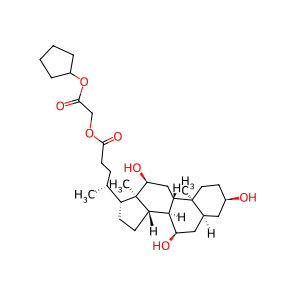 C[C@H](CCC(=O)OCC(=O)OC1CCCC1)[C@H]1CC[C@H]2[C@@H]3[C@H](O)C[C@@H]4C[C@H](O)CC[C@]4(C)[C@H]3C[C@H](O)[C@]12C